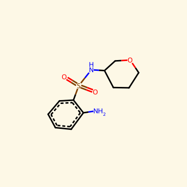 Nc1ccccc1S(=O)(=O)NC1CCCOC1